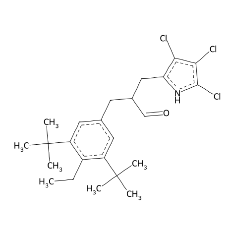 CCc1c(C(C)(C)C)cc(CC(C=O)Cc2[nH]c(Cl)c(Cl)c2Cl)cc1C(C)(C)C